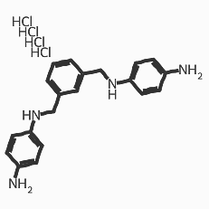 Cl.Cl.Cl.Cl.Nc1ccc(NCc2cccc(CNc3ccc(N)cc3)c2)cc1